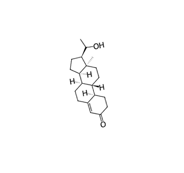 CC(O)[C@@H]1CC[C@@H]2[C@@H]3CCC4=CC(=O)CC[C@@H]4[C@H]3CC[C@@]21C